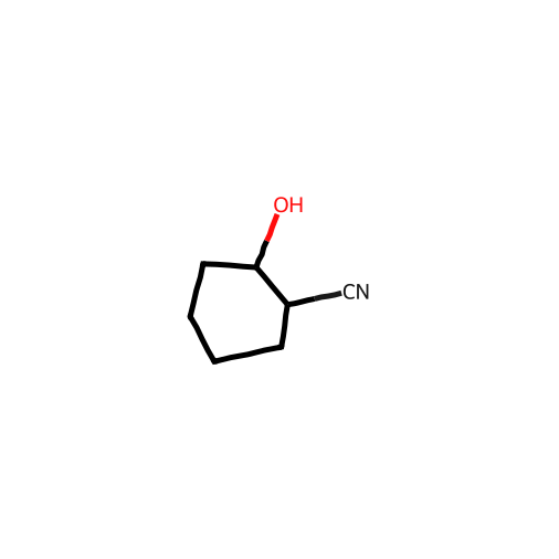 N#CC1CCCCC1O